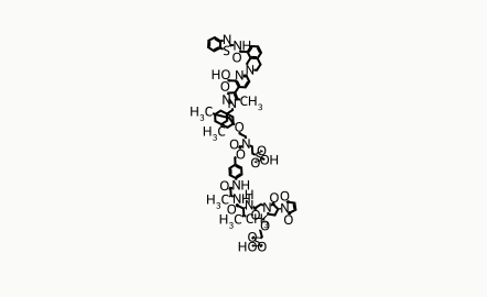 Cc1c(-c2ccc(N3CCc4cccc(C(=O)Nc5nc6ccccc6s5)c4C3)nc2C(=O)O)cnn1CC12CC3(C)CC(C)(C1)CC(OCCN(CCS(=O)(=O)O)C(=O)OCc1ccc(NC(=O)[C@H](C)NC(=O)[C@@H](NC(=O)CN4C(=O)[C@@H](N5C(=O)C=CC5=O)C[C@H]4COCCS(=O)(=O)O)C(C)C)cc1)(C3)C2